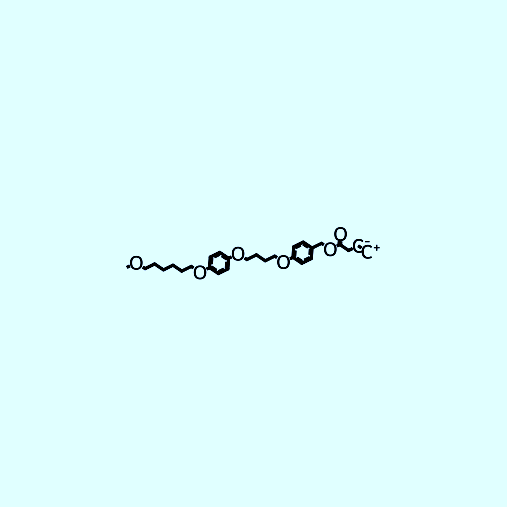 [CH2+][CH-]CC(=O)OCc1ccc(OCCCCOc2ccc(OCCCCCCOC)cc2)cc1